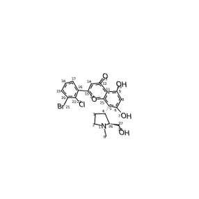 CN1CC[C@H](c2c(O)cc(O)c3c(=O)cc(-c4cccc(Br)c4Cl)oc23)[C@H]1CO